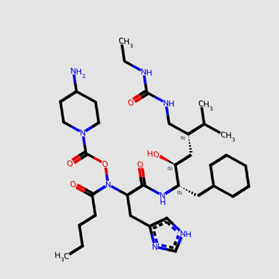 CCCCC(=O)N(OC(=O)N1CCC(N)CC1)C(Cc1c[nH]cn1)C(=O)N[C@@H](CC1CCCCC1)[C@@H](O)C[C@H](CNC(=O)NCC)C(C)C